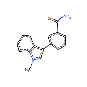 Cn1cc(-c2cccc(C(N)=S)c2)c2ccccc21